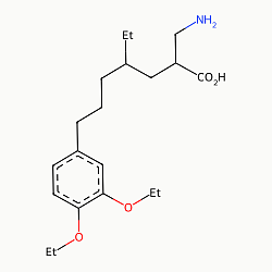 CCOc1ccc(CCCC(CC)CC(CN)C(=O)O)cc1OCC